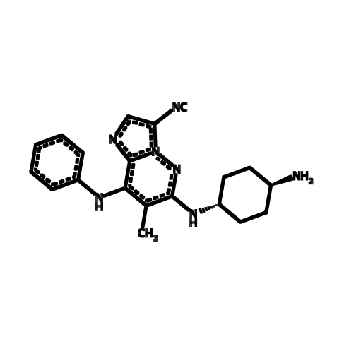 [C-]#[N+]c1cnc2c(Nc3ccccc3)c(C)c(N[C@H]3CC[C@H](N)CC3)nn12